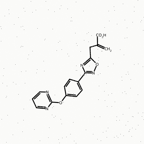 C=C(Cc1nc(-c2ccc(Oc3ncccn3)cc2)no1)C(=O)O